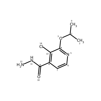 CC(C)Oc1nccc(C(=O)NN)c1Cl